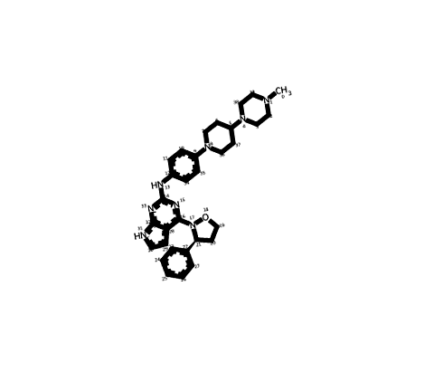 CN1CCN(C2CCN(c3ccc(Nc4nc(N5OCC[C@H]5c5ccccc5)c5cc[nH]c5n4)cc3)CC2)CC1